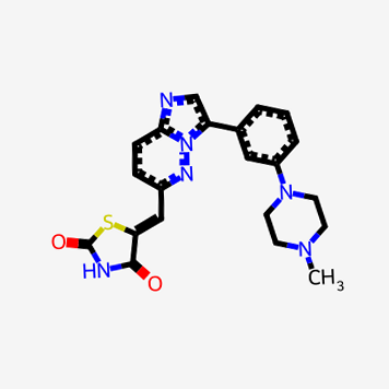 CN1CCN(c2cccc(-c3cnc4ccc(/C=C5\SC(=O)NC5=O)nn34)c2)CC1